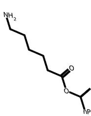 CCCCCC(C)OC(=O)CCCCCN